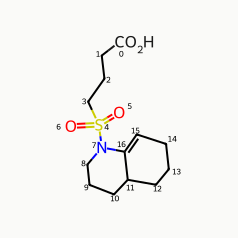 O=C(O)CCCS(=O)(=O)N1CCCC2CCCC=C21